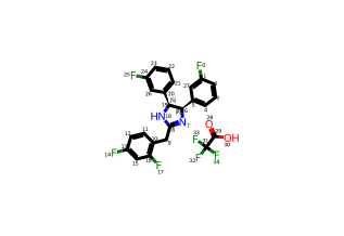 Fc1cccc([C@H]2N=C(Cc3ccc(F)cc3F)N[C@H]2c2cccc(F)c2)c1.O=C(O)C(F)(F)F